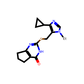 CCn1cnc(C2CC2)c1CSc1nc2c(c(=O)[nH]1)CCC2